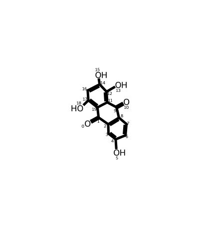 O=C1c2cc(O)ccc2C(=O)c2c(O)c(O)cc(O)c21